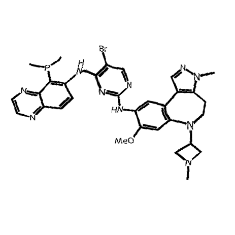 COc1cc2c(cc1Nc1ncc(Br)c(Nc3ccc4nccnc4c3P(C)C)n1)-c1cnn(C)c1CCN2C1CN(C)C1